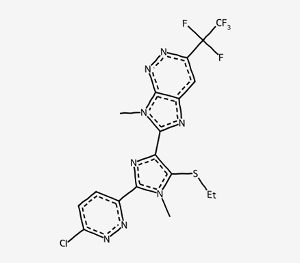 CCSc1c(-c2nc3cc(C(F)(F)C(F)(F)F)nnc3n2C)nc(-c2ccc(Cl)nn2)n1C